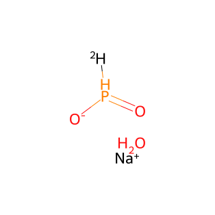 O.[2H][PH](=O)[O-].[Na+]